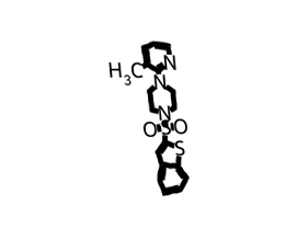 Cc1cccnc1N1CCN(S(=O)(=O)c2cc3ccccc3s2)CC1